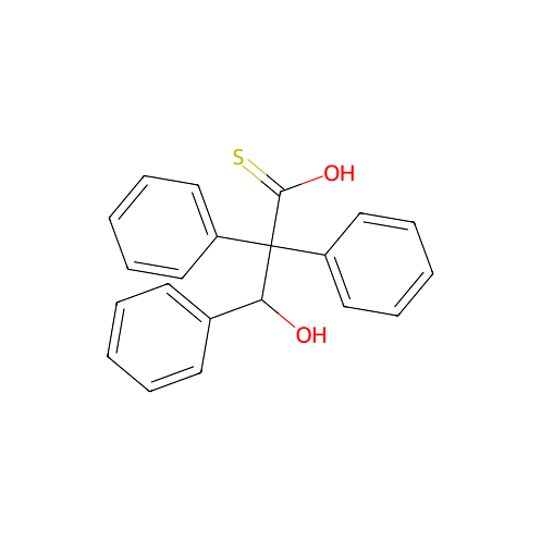 OC(=S)C(c1ccccc1)(c1ccccc1)C(O)c1ccccc1